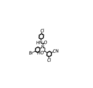 N#Cc1cc(Cl)cc(C(O)CN(C(=O)Nc2ccc(Cl)cc2)c2ccc(Br)cc2)c1